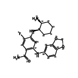 NC(=O)c1cc(F)c(N[C@@H]2CCCC[C@@H]2N)nc1Nc1ccc2c(c1)OCO2